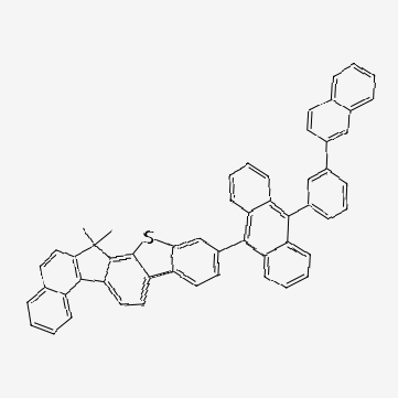 CC1(C)c2ccc3ccccc3c2-c2ccc3c(sc4cc(-c5c6ccccc6c(-c6cccc(-c7ccc8ccccc8c7)c6)c6ccccc56)ccc43)c21